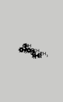 Cn1cc(-c2ncc(CN(c3ccc4c(-c5ncc[nH]5)c(-c5ccccc5)oc4c3)S(C)(=O)=O)s2)cn1